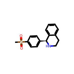 CS(=O)(=O)c1ccc([C@@H]2NCCc3ccccc32)cc1